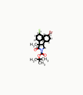 CC(C)(C)OC(=O)N1CC(c2ccc(Br)cc2)C(C)(c2ccc(F)cc2)C1=O